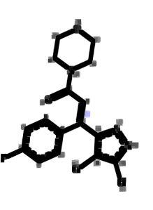 O=C(/C=C(\c1ccc(F)cc1)c1snc(Cl)c1Cl)N1CCOCC1